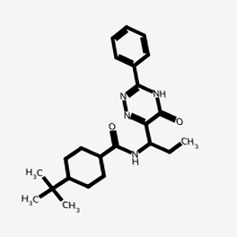 CCC(NC(=O)C1CCC(C(C)(C)C)CC1)c1nnc(-c2ccccc2)[nH]c1=O